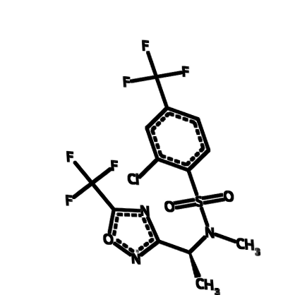 C[C@@H](c1noc(C(F)(F)F)n1)N(C)S(=O)(=O)c1ccc(C(F)(F)F)cc1Cl